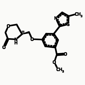 COC(=O)c1cc(OC[C@@H]2COCC(=O)N2)cc(-c2ncc(C)s2)c1